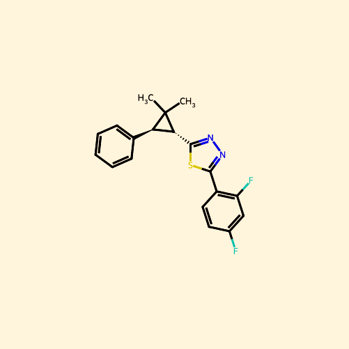 CC1(C)[C@H](c2ccccc2)[C@H]1c1nnc(-c2ccc(F)cc2F)s1